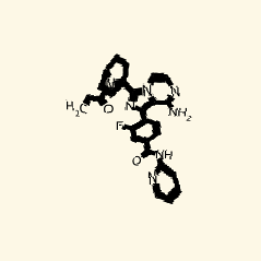 C=CC(=O)N1C2CCC1(c1nc(-c3ccc(C(=O)Nc4ccccn4)cc3F)c3c(N)nccn13)CC2